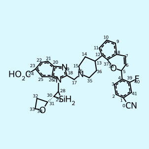 N#Cc1ccc(C2C=Cc3cccc(C4CCN(Cc5nc6ccc(C(=O)O)cc6n5C5[SiH2][C@@H]5C5CCO5)CC4)c3O2)c(F)c1